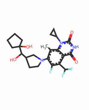 Cc1c(N2CCC(C(O)C3(O)CCCC3)C2)c(F)c(C(F)F)c2c(=O)[nH]c(=O)n(C3CC3)c12